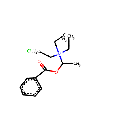 CC[N+](CC)(CC)C(C)OC(=O)c1ccccc1.[Cl-]